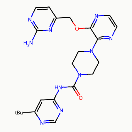 CC(C)(C)c1cc(NC(=O)N2CCN(c3nccnc3OCc3ccnc(N)n3)CC2)ncn1